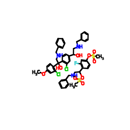 COc1ccc(C(O)(CNCc2ccccc2)c2ccc(C(O)CNCc3ccccc3)cc2Cl)c(Cl)c1.CS(=O)(=O)Oc1ccc(C(CNCc2ccccc2)OS(C)(=O)=O)c(F)c1